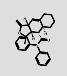 C=C1O[C@H](C)[C@H]2[C@@H](C(=O)N(c3ccccc3)c3ccccc3)[C@@H]3CCCCC3=C[C@@H]12